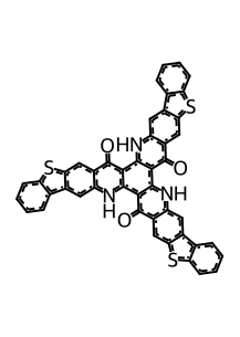 O=c1c2cc3sc4ccccc4c3cc2[nH]c2c1c1[nH]c3cc4c(cc3c(=O)c1c1[nH]c3cc5c(cc3c(=O)c21)sc1ccccc15)sc1ccccc14